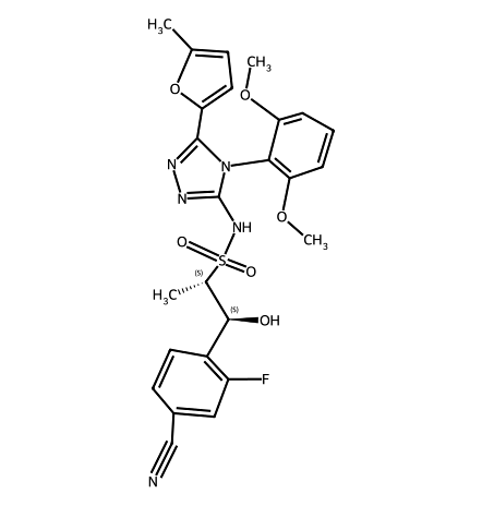 COc1cccc(OC)c1-n1c(NS(=O)(=O)[C@@H](C)[C@@H](O)c2ccc(C#N)cc2F)nnc1-c1ccc(C)o1